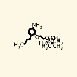 CCCCc1ccc(N)cc1OCCO[Si](C)(C)C(C)(C)C